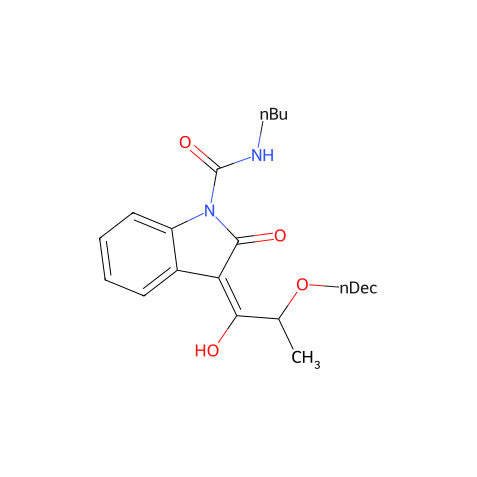 CCCCCCCCCCOC(C)C(O)=C1C(=O)N(C(=O)NCCCC)c2ccccc21